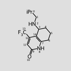 CC(C)CNC1CCCc2[nH]c(=O)cc(C(F)(F)F)c21